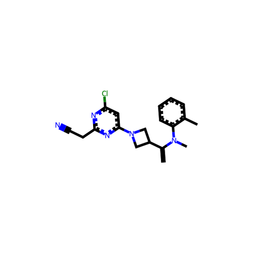 C=C(C1CN(c2cc(Cl)nc(CC#N)n2)C1)N(C)c1ccccc1C